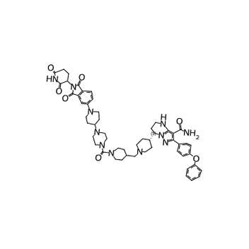 NC(=O)c1c(-c2ccc(Oc3ccccc3)cc2)nn2c1NCC[C@H]2C1CCN(CC2CCN(C(=O)N3CCN(C4CCN(c5ccc6c(c5)C(=O)N(C5CCC(=O)NC5=O)C6=O)CC4)CC3)CC2)CC1